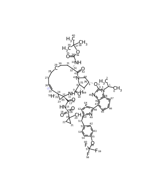 CC(C)n1c(O[C@@H]2C[C@H]3C(=O)N[C@]4(C(=O)NS(=O)(=O)C5(C)CC5)C[C@H]4/C=C\CCCCC[C@H](NC(=O)OC(C)(C)C)C(=O)N3C2)nc2c(-c3nc(Cc4ccc(OC(F)(F)F)cc4)cs3)cccc21